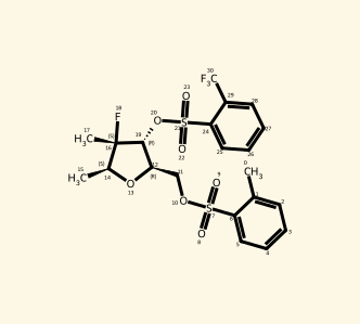 Cc1ccccc1S(=O)(=O)OC[C@H]1O[C@@H](C)[C@](C)(F)[C@@H]1OS(=O)(=O)c1ccccc1C(F)(F)F